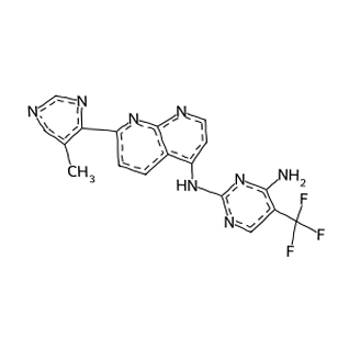 Cc1cncnc1-c1ccc2c(Nc3ncc(C(F)(F)F)c(N)n3)ccnc2n1